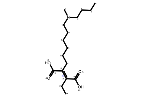 CCCCN(C)CCCCCC/C(C(=O)O)=C(/CC)C(=O)O